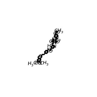 COc1cc2c(cc1OC)CN(CCc1ccc(NC(=O)c3cccc(C=c4[nH]c(=O)c(=Cc5ccc(OC(C)=O)cc5)n(C)c4=O)c3)cc1)CC2